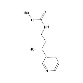 CC(C)(C)OC(=O)NCCC(O)c1cccnc1